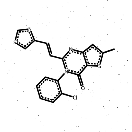 Cc1cc2nc(C=Cc3cscn3)n(-c3ccccc3Cl)c(=O)c2s1